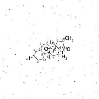 CC1C[C@H]2[C@@H]3CC=C4CC(I)CC[C@]4(C)[C@@H]3CC[C@]2(C)C1=O